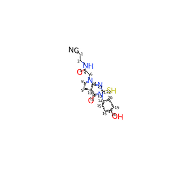 N#CCCNC(=O)Cn1ccc2c(=O)n(-c3ccc(O)cc3)c(S)nc21